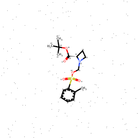 Cc1ccccc1S(=O)(=O)OCN1CC[C@H]1C(=O)OC(C)(C)C